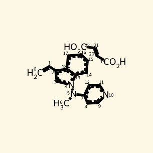 C=Cc1cn(N(C)c2ccncc2)c2ccccc12.O=C(O)C=CC(=O)O